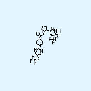 O=C(CN1CCCC1c1cc(C(F)(F)F)c(=O)[nH]n1)N1CCN(c2ncc(OC(F)(F)F)cn2)CC1